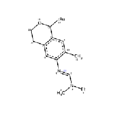 CCN(C)/C=N/c1cc2c(cc1C)C(C(C)(C)C)OCC2